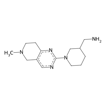 CN1CCc2nc(N3CCCC(CN)C3)ncc2C1